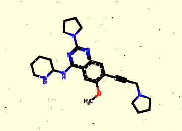 COc1cc2c(NC3CCCCN3)nc(N3CCCC3)nc2cc1C#CCN1CCCC1